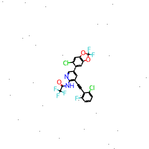 O=C(Nc1ncc(-c2cc3c(cc2Cl)OC(F)(F)O3)cc1C#Cc1c(F)cccc1Cl)C(F)(F)F